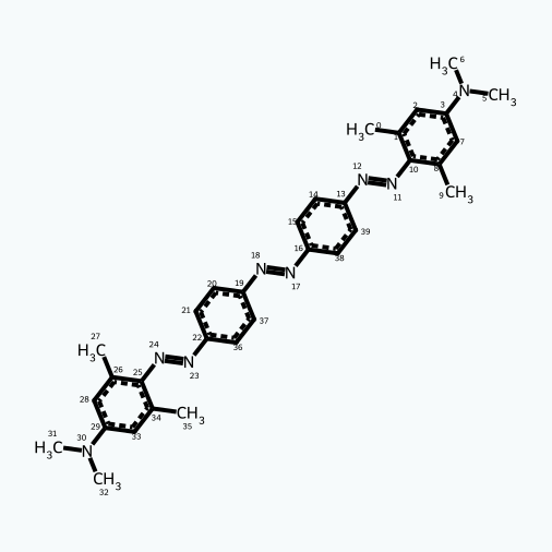 Cc1cc(N(C)C)cc(C)c1N=Nc1ccc(N=Nc2ccc(N=Nc3c(C)cc(N(C)C)cc3C)cc2)cc1